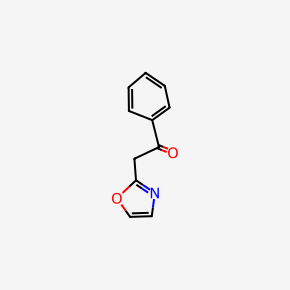 O=C(Cc1ncco1)c1ccccc1